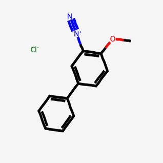 COc1ccc(-c2ccccc2)cc1[N+]#N.[Cl-]